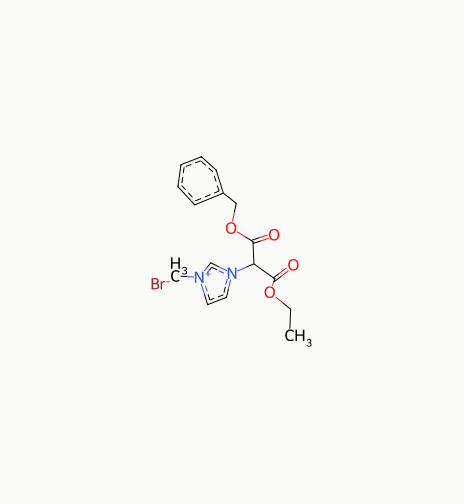 CCOC(=O)C(C(=O)OCc1ccccc1)n1cc[n+](C)c1.[Br-]